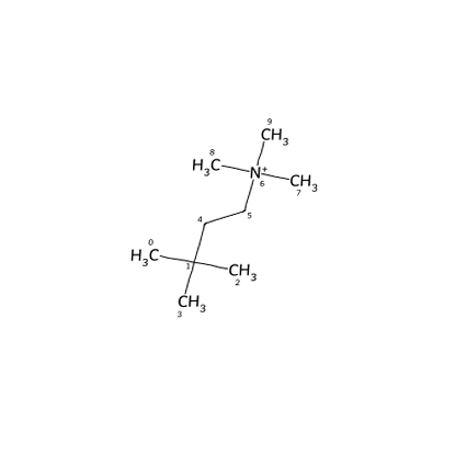 CC(C)(C)CC[N+](C)(C)C